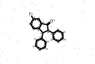 O=C1c2cc(F)ccc2C(c2ccccc2)C1c1ccccc1